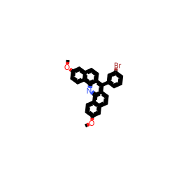 COc1ccc2c(ccc3c(-c4cccc(Br)c4)c4ccc5cc(OC)ccc5c4nc32)c1